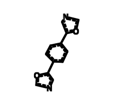 c1ncc(-c2ccc(-c3cnco3)cc2)o1